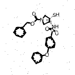 O=C(OCc1ccccc1)N1C[C@H](S)[C@H](NS(=O)(=O)c2ccc(Oc3ccccc3)cc2)C1